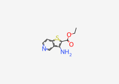 CCOC(=O)c1sc2ccncc2c1N